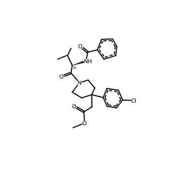 COC(=O)CC1(c2ccc(Cl)cc2)CCN(C(=O)[C@H](NC(=O)c2ccccc2)C(C)C)CC1